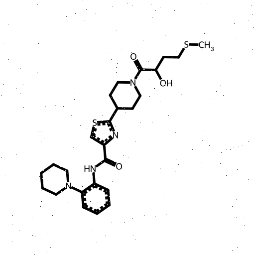 CSCCC(O)C(=O)N1CCC(c2nc(C(=O)Nc3ccccc3N3CCCCC3)cs2)CC1